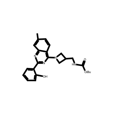 Cc1ccc2c(N3CC(CNC(=O)OCC(C)C)C3)nc(-c3ccccc3O)nc2c1